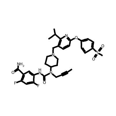 CC#CCN(C(=O)Nc1cc(C(N)=O)c(F)cc1F)C1CCN(Cc2ccc(Oc3ccc(S(C)(=O)=O)cc3)nc2C(C)C)CC1